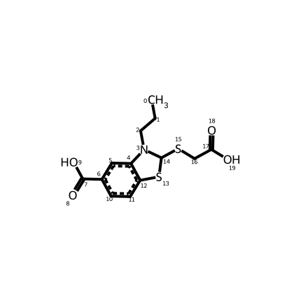 CCCN1c2cc(C(=O)O)ccc2SC1SCC(=O)O